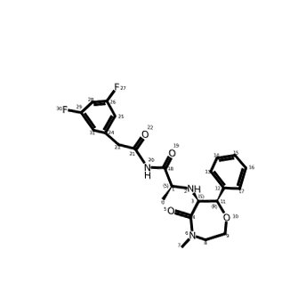 C[C@H](N[C@@H]1C(=O)N(C)CCO[C@@H]1c1ccccc1)C(=O)NC(=O)Cc1cc(F)cc(F)c1